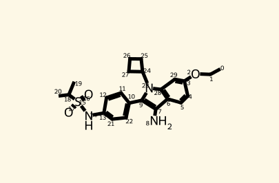 CCOc1ccc2c(N)c(-c3ccc(NS(=O)(=O)C(C)C)cc3)n(C3CCC3)c2c1